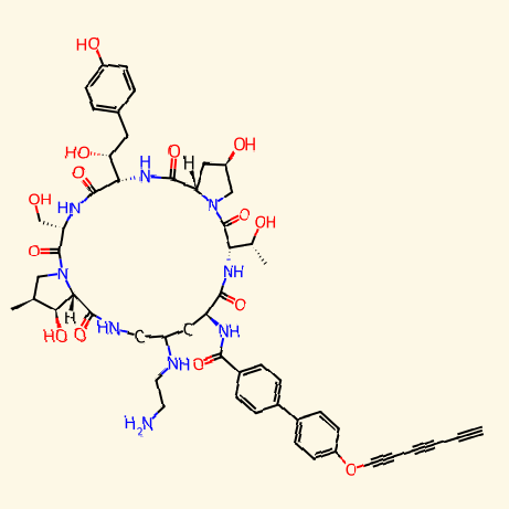 C#CC#CC#COc1ccc(-c2ccc(C(=O)N[C@H]3CC(NCCN)CNC(=O)[C@@H]4[C@@H](O)[C@@H](C)CN4C(=O)[C@H](CO)NC(=O)[C@H]([C@H](O)Cc4ccc(O)cc4)NC(=O)[C@@H]4C[C@@H](O)CN4C(=O)[C@H]([C@@H](C)O)NC3=O)cc2)cc1